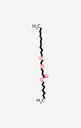 CCCCCCCCCCCCOCCOCCCC(=O)OCCCCCCCC